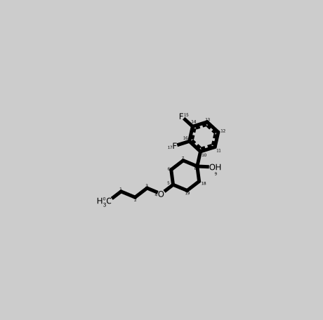 CCCCOC1CCC(O)(c2cccc(F)c2F)CC1